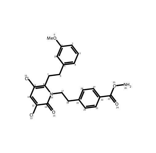 COc1cccc(CCc2c(Cl)cc(Cl)c(=O)n2CCc2ccc(C(=O)ON)cc2)c1